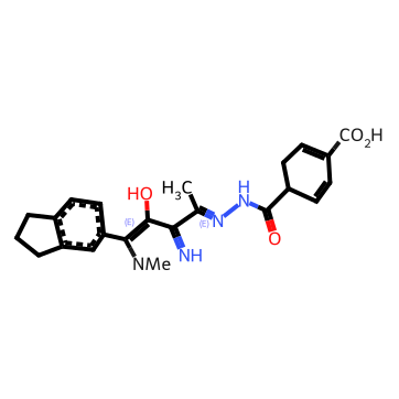 CN/C(=C(/O)C(=N)/C(C)=N/NC(=O)C1C=CC(C(=O)O)=CC1)c1ccc2c(c1)CCC2